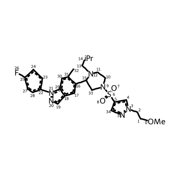 COCCn1cc(S(=O)(=O)N2CCN(CC(C)C)C(c3cc4cnn(-c5ccc(F)cc5)c4cc3C)C2)cn1